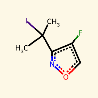 CC(C)(I)c1nocc1F